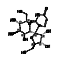 O=c1ccn([C@]2(C3O[C@H](CO)[C@@H](O)[C@H](O)[C@@H]3O)O[C@H](CO)[C@@H](O)[C@H]2O)c(=S)[nH]1